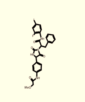 COCC(=O)Nc1ccc(C2NC(=O)N(C(Cc3ccccc3)C(=O)Nc3ccc(I)cc3F)C2=O)cc1